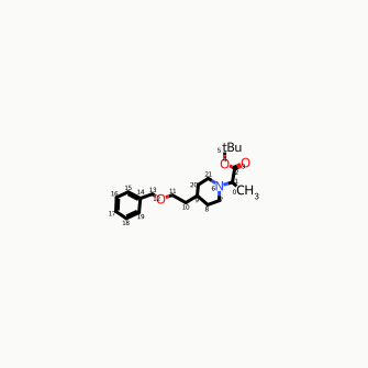 CC(C(=O)OC(C)(C)C)N1CCC(CCOCc2ccccc2)CC1